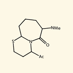 CNC1CCCC2SCCC(C(C)=O)N2C1=O